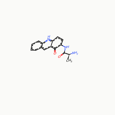 C[C@H](N)C(=O)Nc1ccc2[nH]c3ccccc3cc-2c1=O